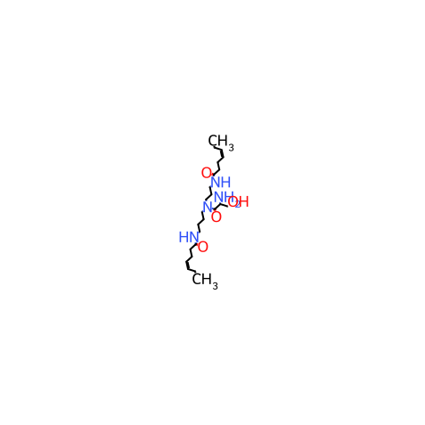 CC/C=C\CCC(=O)NCCCCN(CCCNC(=O)CC/C=C\CC)C(=O)[C@@H](N)CO